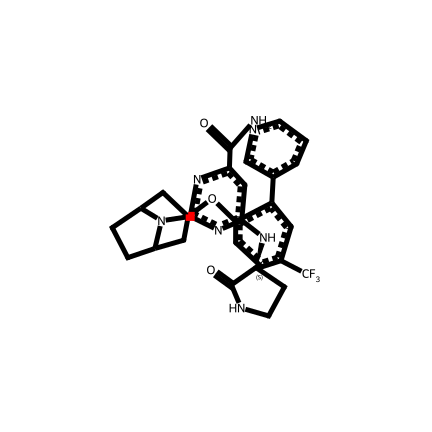 NC(=O)c1cc(N[C@H]2CCNC2=O)nc(N2C3CCC2CC(Oc2ccc(C(F)(F)F)cc2-c2cccnc2)C3)n1